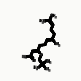 CC(C)=CCCC(C)=CCCC(=CC(=O)O)OCC(C)(C)C